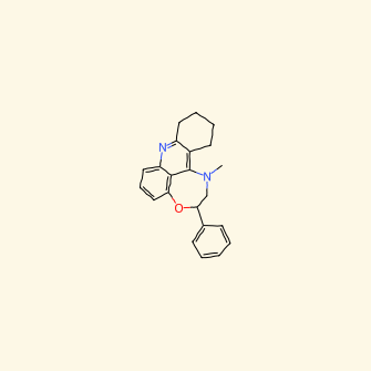 CN1CC(c2ccccc2)Oc2cccc3nc4c(c1c23)CCCC4